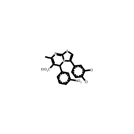 CCOC(=O)C1=C(C)N=C2SC=C(c3ccc(Cl)c(Cl)c3)N2C1c1cccc([N+](=O)[O-])c1